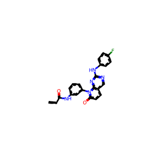 C=CC(=O)Nc1cccc(-n2c(=O)ccc3cnc(Nc4ccc(F)cc4)nc32)c1